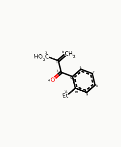 C=C(C(=O)O)C(=O)c1ccccc1CC